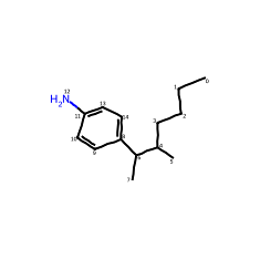 CCCCC(C)C(C)c1ccc(N)cc1